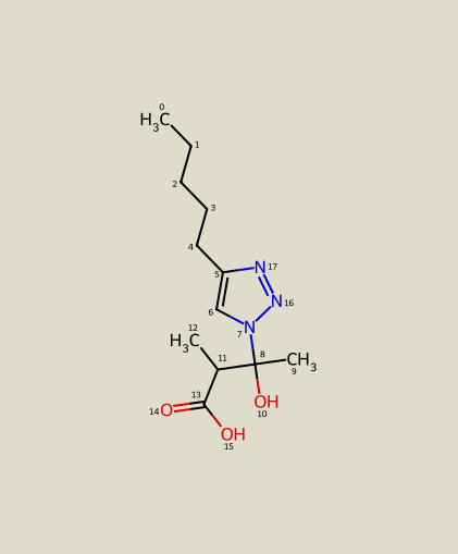 CCCCCc1cn(C(C)(O)C(C)C(=O)O)nn1